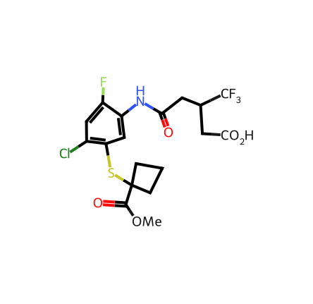 COC(=O)C1(Sc2cc(NC(=O)CC(CC(=O)O)C(F)(F)F)c(F)cc2Cl)CCC1